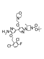 C[C@H]1CN(C(=O)OC(C)(C)C)CCN1c1cc(OCCN2CCOCC2)c(-c2cnc(N)c(OCCc3c(Cl)ccc(F)c3Cl)c2)cn1